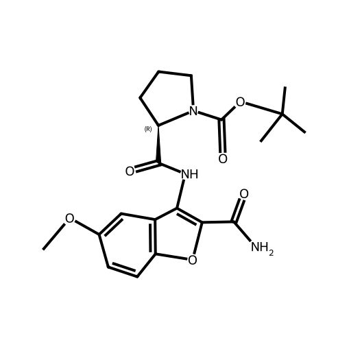 COc1ccc2oc(C(N)=O)c(NC(=O)[C@H]3CCCN3C(=O)OC(C)(C)C)c2c1